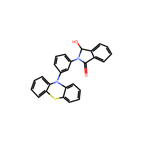 O=C1c2ccccc2C(O)N1c1cccc(N2c3ccccc3Sc3ccccc32)c1